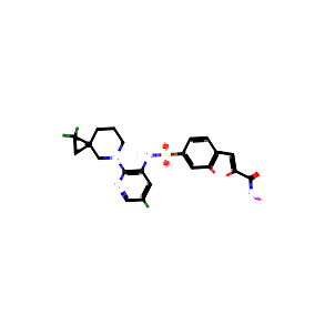 O=C(NO)c1cc2ccc(S(=O)(=O)Nc3cc(Cl)cnc3N3CCCC4(C3)CC4(F)F)cc2o1